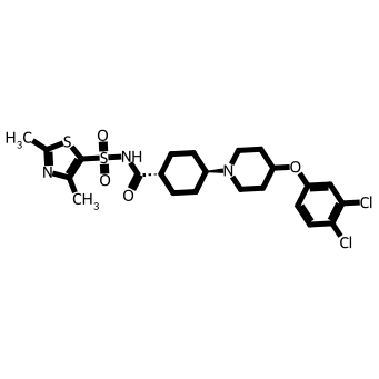 Cc1nc(C)c(S(=O)(=O)NC(=O)[C@H]2CC[C@H](N3CCC(Oc4ccc(Cl)c(Cl)c4)CC3)CC2)s1